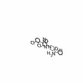 Cc1nc(N2CCC3(CC2)Oc2ncccc2[C@H]3N)c2ccnn2c1-c1cccc(Cl)c1Cl